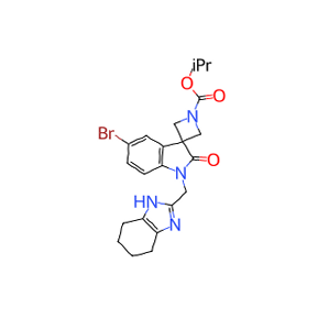 CC(C)OC(=O)N1CC2(C1)C(=O)N(Cc1nc3c([nH]1)CCCC3)c1ccc(Br)cc12